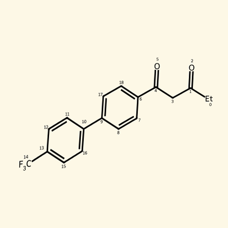 CCC(=O)CC(=O)c1ccc(-c2ccc(C(F)(F)F)cc2)cc1